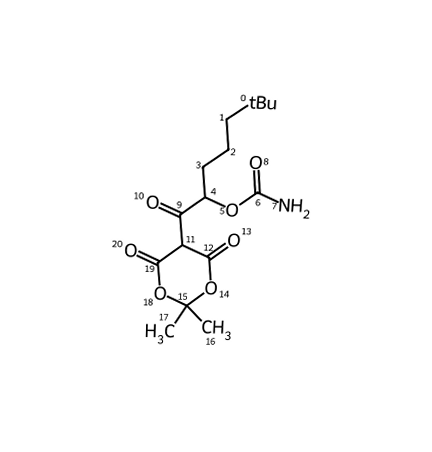 CC(C)(C)CCCC(OC(N)=O)C(=O)C1C(=O)OC(C)(C)OC1=O